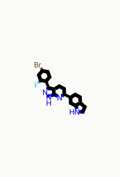 Fc1cc(Br)ccc1-c1n[nH]c2nc(-c3ccc4cc[nH]c4c3)ccc12